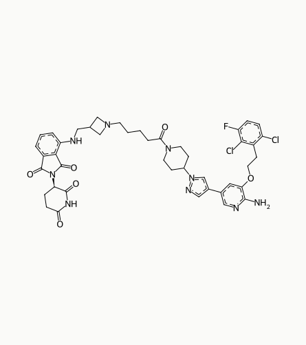 Nc1ncc(-c2cnn(C3CCN(C(=O)CCCCN4CC(CNc5cccc6c5C(=O)N([C@@H]5CCC(=O)NC5=O)C6=O)C4)CC3)c2)cc1OCCc1c(Cl)ccc(F)c1Cl